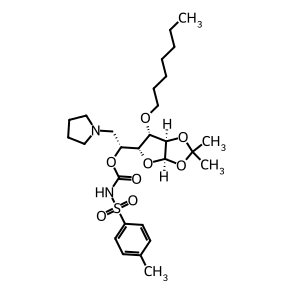 CCCCCCCO[C@@H]1[C@H]2OC(C)(C)O[C@H]2O[C@@H]1[C@@H](CN1CCCC1)OC(=O)NS(=O)(=O)c1ccc(C)cc1